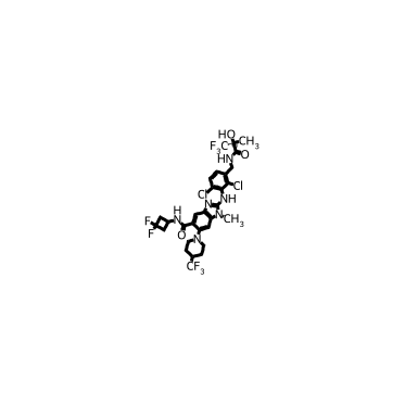 Cn1c(Nc2c(Cl)ccc(CNC(=O)[C@](C)(O)C(F)(F)F)c2Cl)nc2cc(C(=O)NC3CC(F)(F)C3)c(N3CCC(C(F)(F)F)CC3)cc21